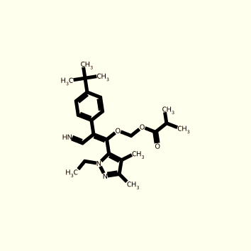 CCn1nc(C)c(C)c1/C(OCOC(=O)C(C)C)=C(\C=N)c1ccc(C(C)(C)C)cc1